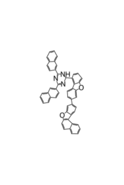 c1ccc2cc(C3=NC(c4cccc5oc6cc(-c7ccc8c(c7)oc7ccc9ccccc9c78)ccc6c45)NC(c4ccc5ccccc5c4)=N3)ccc2c1